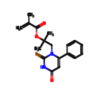 C=C(C)C(=O)OC(C)(C)Cn1c(-c2ccccc2)cc(=O)[nH]c1=S